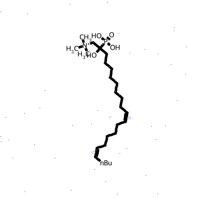 CCCC/C=C\CCCC/C=C\CCCCCCCCC(O)(C[N+](C)(C)C)P(=O)(O)O